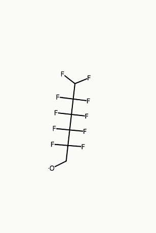 [O]CC(F)(F)C(F)(F)C(F)(F)C(F)(F)C(F)F